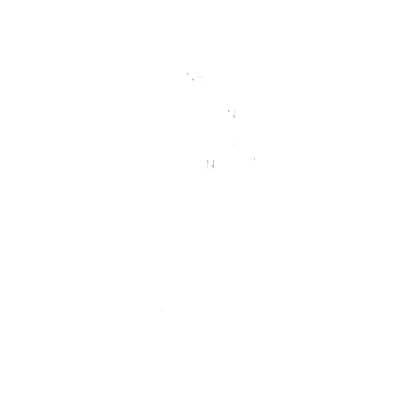 CC(C)(C)CCCCCn1ccc(N)nc1=O